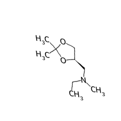 CCN(C)C[C@@H]1COC(C)(C)O1